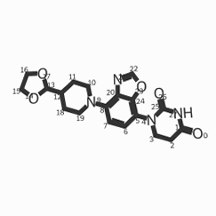 O=C1CCN(c2ccc(N3CCC(C4OCCO4)CC3)c3ncoc23)C(=O)N1